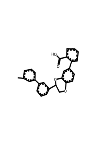 Cc1cccc(-c2cccc(C3COc4ccc(-c5ccccc5C(=O)O)cc4O3)c2)c1